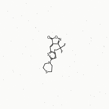 O=C1ON=C(C(F)(F)F)/C1=C\c1ccc(N2CCSCC2)s1